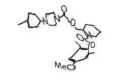 COc1cc(C)c(S(=O)(=O)N2CCCCC2COCC(=O)N2CCN(C3CCC(C)CC3)CC2)c(C)c1